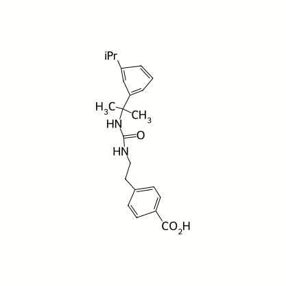 CC(C)c1cccc(C(C)(C)NC(=O)NCCc2ccc(C(=O)O)cc2)c1